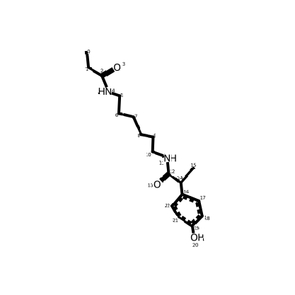 CCC(=O)NCCCCCCNC(=O)C(C)c1ccc(O)cc1